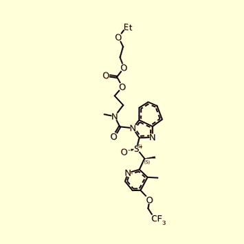 CCOCCOC(=O)OCCN(C)C(=O)n1c([S@+]([O-])[C@@H](C)c2nccc(OCC(F)(F)F)c2C)nc2ccccc21